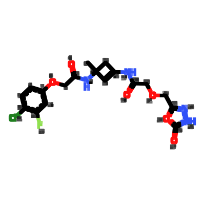 CC1(NC(=O)COc2ccc(Cl)c(F)c2)C=C(NC(=O)COCc2n[nH]c(=O)o2)C1